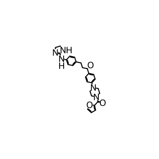 O=C(CCc1ccc(NC2=NCCN2)cc1)c1ccc(N2CCN(C(=O)c3ccco3)CC2)cc1